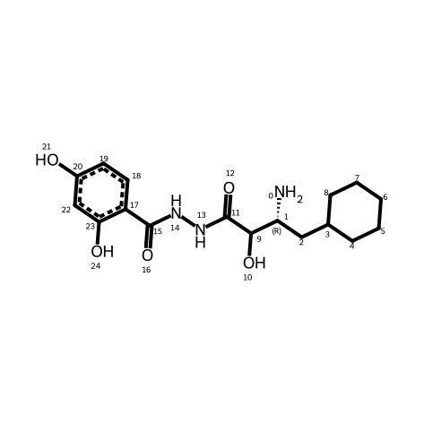 N[C@H](CC1CCCCC1)C(O)C(=O)NNC(=O)c1ccc(O)cc1O